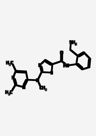 Cc1cc(N(C)c2ncc(C(=O)Nc3ccccc3CN)s2)nc(C)n1